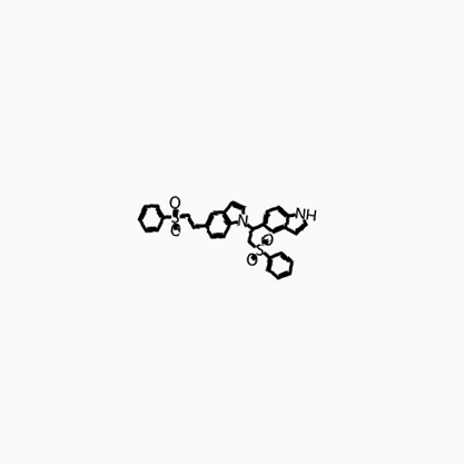 O=S(=O)(CCc1ccc2c(ccn2C(CS(=O)(=O)c2ccccc2)c2ccc3[nH]ccc3c2)c1)c1ccccc1